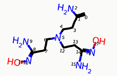 C=C(N)CCN(CC/C(N)=N/O)CC/C(N)=N\O